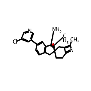 CC1=C2CC3(CCC2=N1)Cc1ccc(-c2cncc(Cl)c2)cc1C31N=C(N)N(C)O1